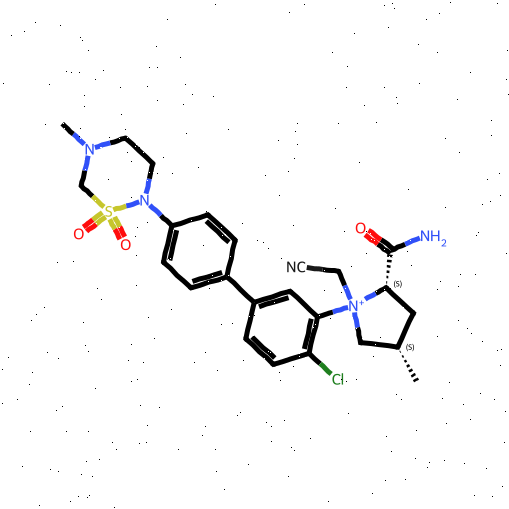 C[C@H]1C[C@@H](C(N)=O)[N+](CC#N)(c2cc(-c3ccc(N4CCN(C)CS4(=O)=O)cc3)ccc2Cl)C1